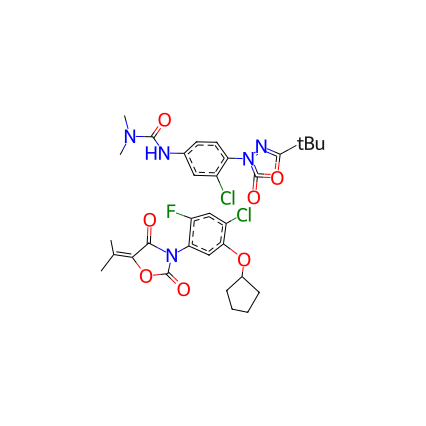 CC(C)=C1OC(=O)N(c2cc(OC3CCCC3)c(Cl)cc2F)C1=O.CN(C)C(=O)Nc1ccc(-n2nc(C(C)(C)C)oc2=O)c(Cl)c1